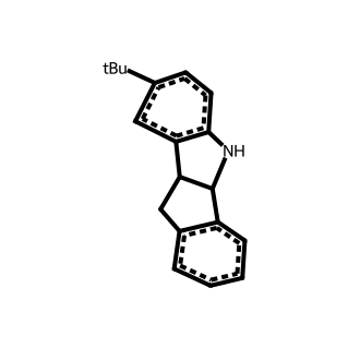 CC(C)(C)c1ccc2c(c1)C1Cc3ccccc3C1N2